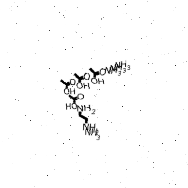 CC(=O)O.CC(=O)O.CC(=O)O.CC(=O)O.N.N.N.N.NCCN